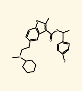 Cc1[nH]c2ccc(CCN(C)C3CCCCC3)cc2c1C(=O)OC(C)c1ccc(F)cc1